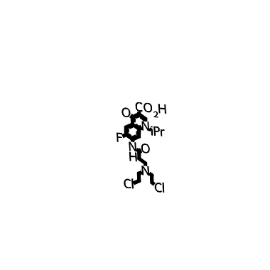 CC(C)n1cc(C(=O)O)c(=O)c2cc(F)c(NC(=O)CCN(CCCl)CCCl)cc21